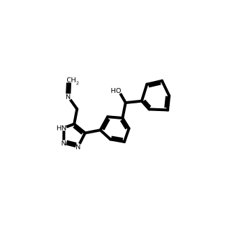 C=NCc1[nH]nnc1-c1cccc(C(O)c2ccccc2)c1